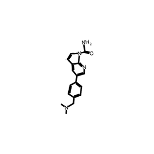 CN(C)Cc1ccc(-c2cnc3c([c]cn3C(N)=O)c2)cc1